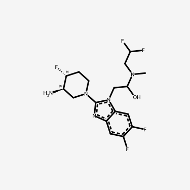 CN(CC(F)F)C(O)Cn1c(N2CC[C@@H](F)[C@H](N)C2)nc2cc(F)c(F)cc21